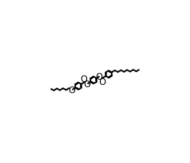 CCCCCCCCCc1ccc(C(=O)Oc2ccc(OC(=O)c3ccc(OCCCCCCC)cc3)cc2)cc1